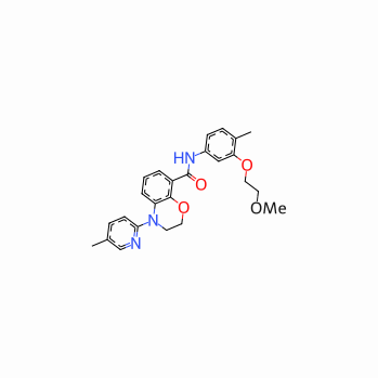 COCCOc1cc(NC(=O)c2cccc3c2OCCN3c2ccc(C)cn2)ccc1C